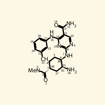 CNC(=O)[C@@H]1CC[C@@H](Nc2ncc(C(N)=O)c(Nc3cccc(C)c3)n2)[C@@H](N)C1